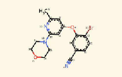 Cc1cc(Oc2cc(C#N)ccc2Br)cc(N2CCOCC2)n1